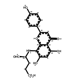 O=C[C@H](CCC(=O)O)Nc1c(O)cc(O)c2c(=O)cc(-c3ccc(O)cc3)oc12